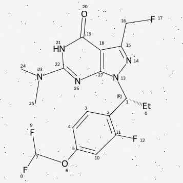 CC[C@H](c1ccc(OC(F)F)cc1F)n1nc(CF)c2c(=O)[nH]c(N(C)C)nc21